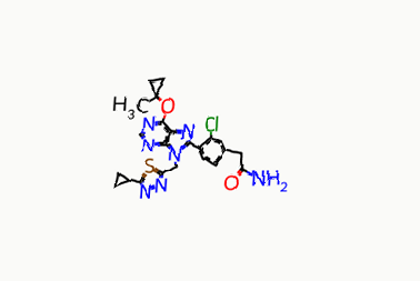 CC1(Oc2ncnc3c2nc(-c2ccc(CC(N)=O)cc2Cl)n3Cc2nnc(C3CC3)s2)CC1